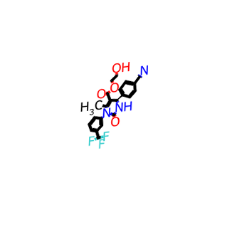 CC1=C(C(=O)OCCO)[C@@H](c2ccc(C#N)cc2)NC(=O)N1c1cccc(C(F)(F)F)c1